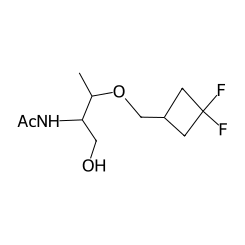 CC(=O)NC(CO)C(C)OCC1CC(F)(F)C1